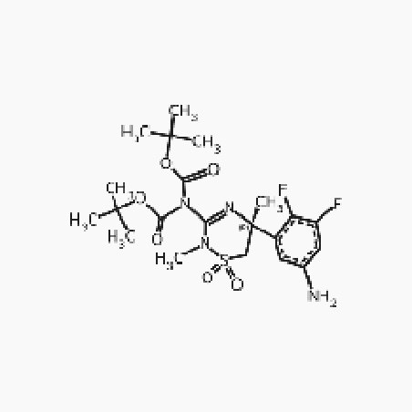 CN1C(N(C(=O)OC(C)(C)C)C(=O)OC(C)(C)C)=N[C@](C)(c2cc(N)cc(F)c2F)CS1(=O)=O